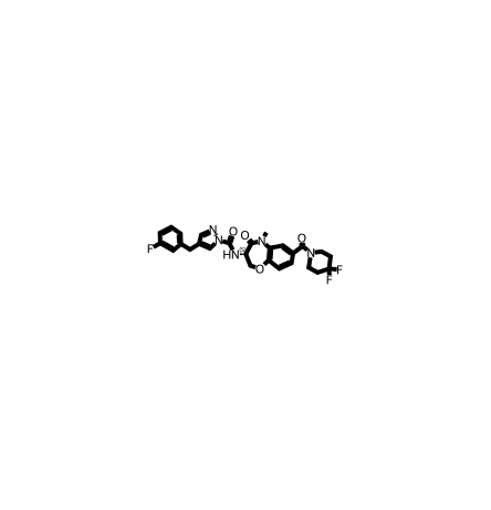 CN1C(=O)[C@@H](NC(=O)n2cc(Cc3cccc(F)c3)cn2)COc2ccc(C(=O)N3CCC(F)(F)CC3)cc21